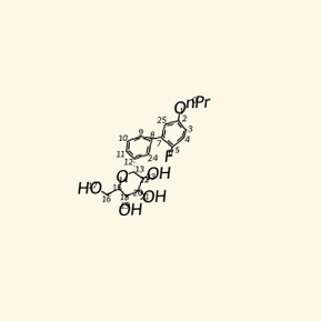 CCCOc1ccc(F)c(-c2cccc([C@H]3O[C@H](CO)[C@@H](O)[C@H](O)[C@@H]3O)c2)c1